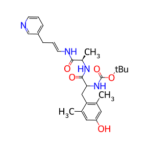 Cc1cc(O)cc(C)c1CC(NC(=O)OC(C)(C)C)C(=O)N[C@H](C)C(=O)NC=CCc1cccnc1